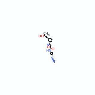 C[C@@H](O)C#Cc1cccc(-c2cc(C(=O)N[C@H]3C[C@@H](CN=[N+]=[N-])C3)on2)c1